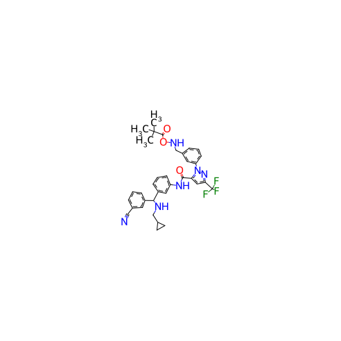 CC(C)(C)C(=O)ONCc1cccc(-n2nc(C(F)(F)F)cc2C(=O)Nc2cccc(C(NCC3CC3)c3cccc(C#N)c3)c2)c1